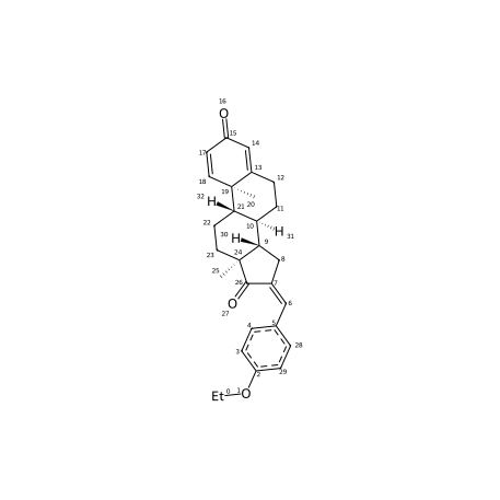 CCOc1ccc(C=C2C[C@H]3[C@@H]4CCC5=CC(=O)C=C[C@]5(C)[C@H]4CC[C@]3(C)C2=O)cc1